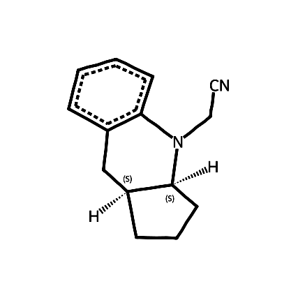 N#CCN1c2ccccc2C[C@@H]2CCC[C@@H]21